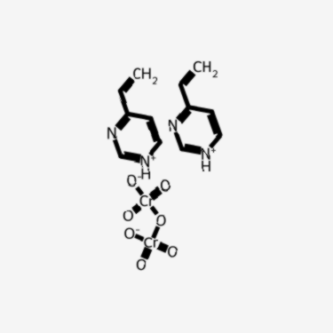 C=Cc1cc[nH+]cn1.C=Cc1cc[nH+]cn1.[O]=[Cr](=[O])([O-])[O][Cr](=[O])(=[O])[O-]